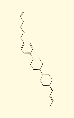 C=CCCOCc1ccc([C@H]2CC[C@H]([C@H]3CC[C@H](CC=CC)CC3)CC2)cc1